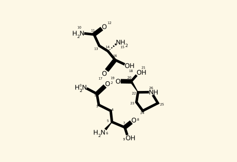 NC(=O)CC[C@H](N)C(=O)O.NC(=O)C[C@H](N)C(=O)O.O=C(O)[C@@H]1CCCN1